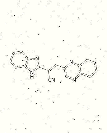 N#C/C(=C\c1cnc2ccccc2n1)c1nc2ccccc2[nH]1